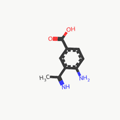 CC(=N)c1cc(C(=O)O)ccc1N